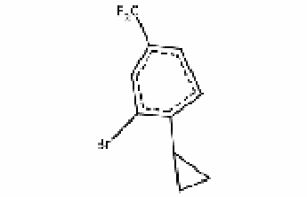 FC(F)(F)c1ccc(C2CC2)c(Br)c1